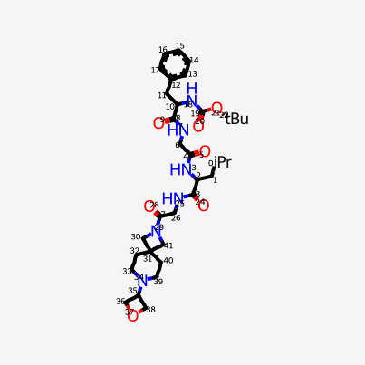 CC(C)CC(NC(=O)CNC(=O)C(Cc1ccccc1)NC(=O)OC(C)(C)C)C(=O)NCC(=O)N1CC2(CCN(C3COC3)CC2)C1